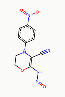 N#CC1=C(NN=O)OCCN1c1ccc([N+](=O)[O-])cc1